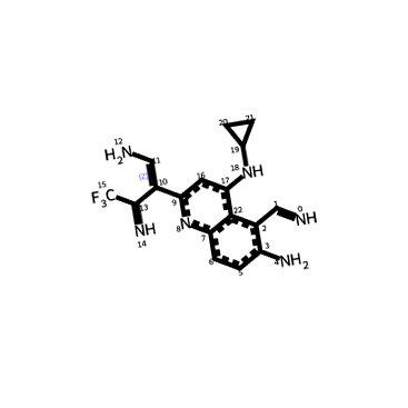 N=Cc1c(N)ccc2nc(/C(=C/N)C(=N)C(F)(F)F)cc(NC3CC3)c12